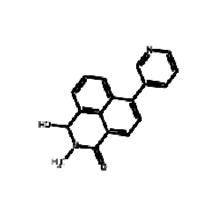 CN1C(=O)c2ccc(-c3cccnc3)c3cccc(c23)C1O